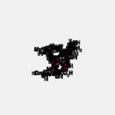 CCCCCCCCCCS(=O)(=O)NCCNCC1[C@H](O)C2C3C[C@H](CC[C@H]3O)[C@H]3NC(=O)[C@@H]4NC(=O)[C@H](CC(N)=O)NC(=O)[C@H](NC(=O)[C@@H](CC(C)C)NC)[C@H](O)[C@H]5CC[C@@H](Oc6cc4cc(c6O[C@@H]4C[C@H](CO)[C@@H](O)[C@H](O)[C@H]4O[C@H]4C[C@](C)(N)[C@H](O)[C@H](C)O4)O[C@@H]4CC[C@@H](C[C@@H]4Cl)[C@@H](O)[C@H](NC3=O)C(=O)N[C@H](C(=O)O)C2C[C@@H]1O)[C@H](Cl)C5